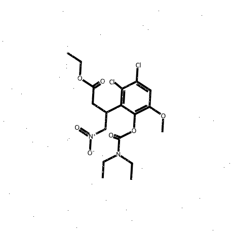 CCOC(=O)CC(C[N+](=O)[O-])c1c(Cl)c(Cl)cc(OC)c1OC(=O)N(CC)CC